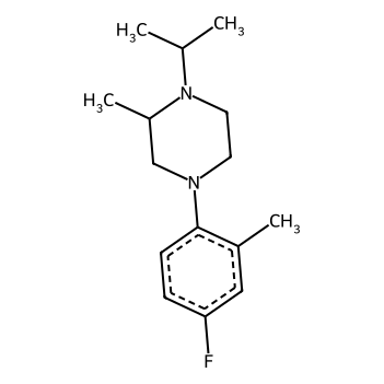 Cc1cc(F)ccc1N1CCN(C(C)C)C(C)C1